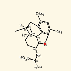 CC[C@H](C)[C@H](N[C@@H]1CC[C@H]2[C@H]3Cc4c(OC)cc(O)c5c4[C@@]2(CCN3C)[C@H]1O5)C(=O)O